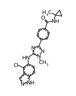 Cn1nc(-c2ccc(C(=O)NC3(C)CC3)cc2)nc1Nc1ccc2[nH]ncc2c1Cl